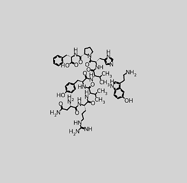 CC(C)[C@H](NC(=O)[C@H](CCCNC(=N)N)NC(=O)[C@@H](N)CC(N)=O)C(=O)N[C@@H](Cc1ccc(O)cc1)C(=O)N[C@H](C(=O)N[C@@H](Cc1cnc[nH]1)C(=O)N1CCC[C@H]1C(=O)N[C@@H](Cc1ccccc1)C(=O)O)C(C)C.NCCc1c[nH]c2ccc(O)cc12